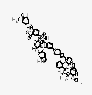 COc1cc(CN2CCN(C3CC4(CCN(c5ccc(C(=O)NS(=O)(=O)c6ccc(NC[C@H]7CC[C@](C)(O)CC7)c([N+](=O)[O-])c6)c(N6c7cc8cc[nH]c8nc7O[C@H]7COCC[C@@H]76)c5)CC4)C3)[C@H](c3ccccc3C(C)C)C2)cnc1OC